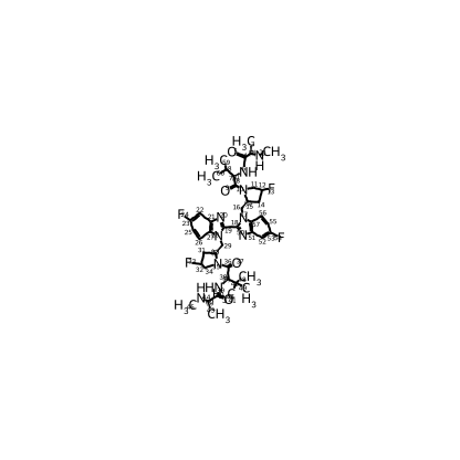 CN[C@H](C)C(=O)N[C@@H](C(=O)N1CC(F)C[C@H]1Cn1c(-c2nc3cc(F)ccc3n2C[C@@H]2CC(F)CN2C(=O)[C@H](NC(=O)[C@@H](C)NC)C(C)(C)C)nc2cc(F)ccc21)C(C)C